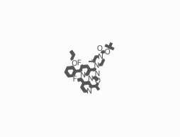 C=CCOc1cccc(F)c1-c1nc2c(cc1F)c(N1CCN(C(=O)OC(C)(C)C)C[C@@H]1C)nc(=O)n2-c1c(C=C)ccnc1C(C)C